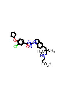 CC(C)(CNCCC(=O)O)Cc1ccc2c(ccn2-c2noc(-c3ccc(OC4CCCC4)c(Cl)c3)n2)c1